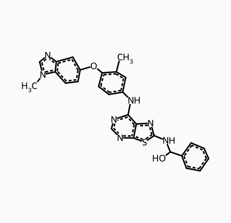 Cc1cc(Nc2ncnc3sc(NC(O)c4ccccc4)nc23)ccc1Oc1ccc2c(c1)ncn2C